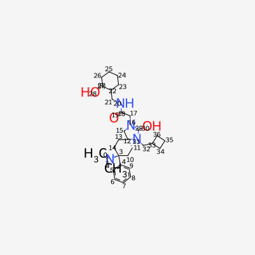 CN(C)[C@]1(c2ccccc2)CC[C@]2(CC1)CN(CC(=O)NCC1CCCC[C@H]1O)C(O)N2CC1CCC1